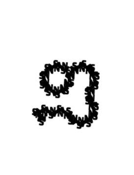 [c]1csc(-c2csc(-c3csc(-c4csc(-c5csc(-c6csc(-c7csc(-c8csc(-c9csc(-c%10csc(-c%11csc(-c%12csc(-c%13csc(-c%14csc(-c%15csc(-c%16csc(-c%17csc(-c%18csc(-c%19csc(-c%20csc(-c%21csc(-c%22csc(-c%23csc(-c%24csc(-c%25csc(-c%26csc(C%27=CSCN%27c%27cscn%27)n%26)n%25)n%24)n%23)n%22)n%21)n%20)n%19)n%18)n%17)n%16)n%15)n%14)n%13)n%12)n%11)n%10)n9)n8)n7)n6)n5)n4)n3)n2)n1